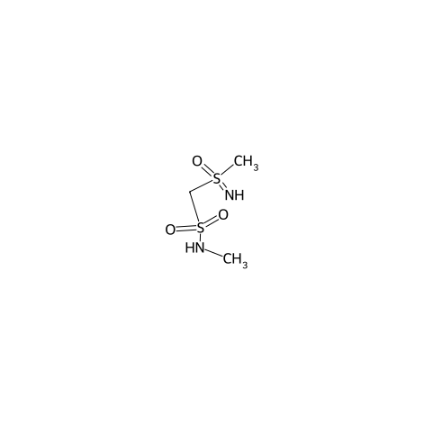 CNS(=O)(=O)CS(C)(=N)=O